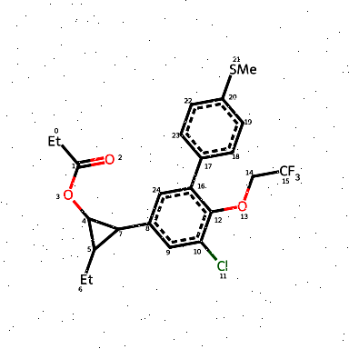 CCC(=O)OC1C(CC)C1c1cc(Cl)c(OCC(F)(F)F)c(-c2ccc(SC)cc2)c1